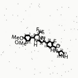 COc1ccc(C2CC(C(F)F)n3nc(-c4ccc(C(=O)NC5CCNC5)c(F)c4)cc3N2)cc1OC